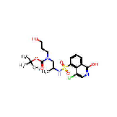 CC(CN(CCCO)C(=O)OC(C)(C)C)NS(=O)(=O)c1cccc2c(O)ncc(Cl)c12